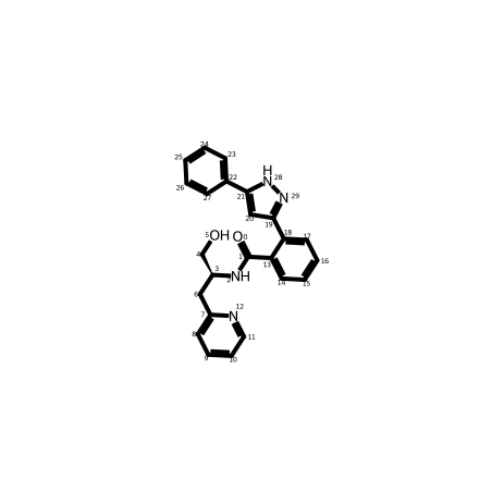 O=C(N[C@H](CO)Cc1ccccn1)c1ccccc1-c1cc(-c2ccccc2)[nH]n1